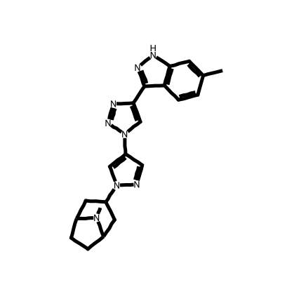 Cc1ccc2c(-c3cn(-c4cnn(C5CC6CCC(C5)N6C)c4)nn3)n[nH]c2c1